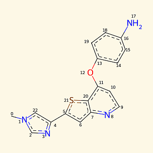 Cn1cnc(-c2cc3nccc(Oc4ccc(N)cc4)c3s2)c1